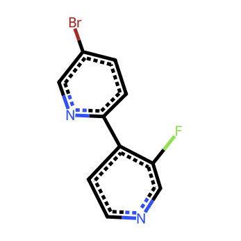 Fc1cnccc1-c1ccc(Br)cn1